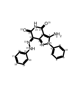 Nc1c2c(nn1-c1ccccc1)/C(=N\Nc1ccccc1)C(=O)NC2=O